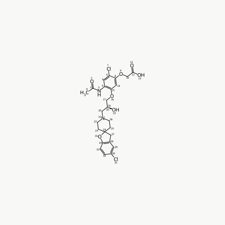 CC(=O)Nc1cc(Cl)c(OCC(=O)O)cc1OC[C@@H](O)CN1CCC2(CC1)Cc1cc(Cl)ccc1O2